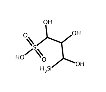 O=S(=O)(O)C(O)C(O)C(O)[SiH3]